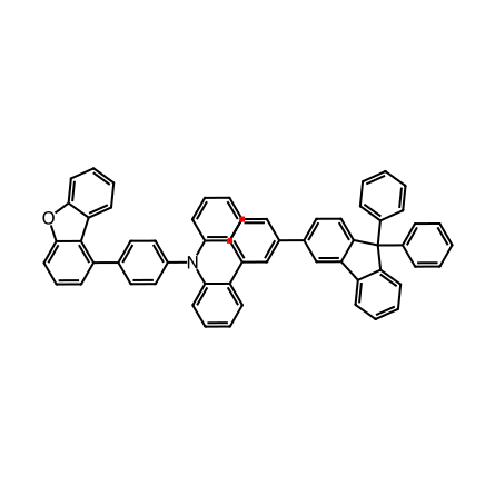 c1ccc(N(c2ccc(-c3cccc4oc5ccccc5c34)cc2)c2ccccc2-c2cccc(-c3ccc4c(c3)-c3ccccc3C4(c3ccccc3)c3ccccc3)c2)cc1